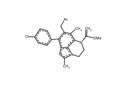 C=C(OC)N1CCn2c(C)cc3c(-c4ccc(Cl)cc4)c(CC(C)=O)c(C)c1c32